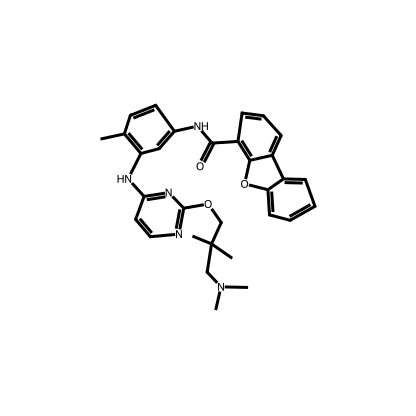 Cc1ccc(NC(=O)c2cccc3c2oc2ccccc23)cc1Nc1ccnc(OCC(C)(C)CN(C)C)n1